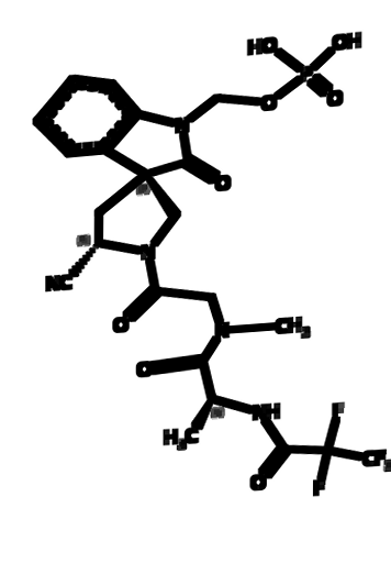 C[C@H](NC(=O)C(F)(F)C(F)(F)F)C(=O)N(C)CC(=O)N1C[C@]2(C[C@H]1C#N)C(=O)N(COP(=O)(O)O)c1ccccc12